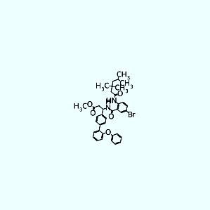 COC(=O)CC(NC(=O)c1cc(Br)ccc1NC(=O)CC(C)(C)CC(C)C)c1ccc(-c2ccccc2Oc2ccccc2)cc1